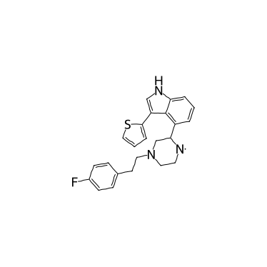 Fc1ccc(CCN2CC[N]C(c3cccc4[nH]cc(-c5cccs5)c34)C2)cc1